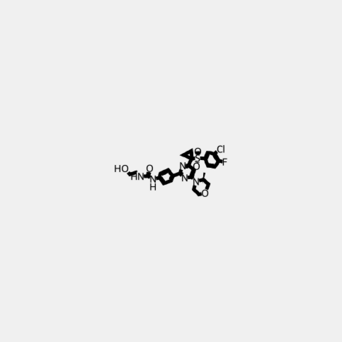 C[C@H]1COCCN1c1cc(C2(S(=O)(=O)c3ccc(F)c(Cl)c3)CC2)nc(-c2ccc(NC(=O)NCCO)cc2)n1